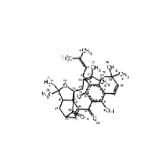 CC(C)=CCc1c2c(c(O)c3c1O[C@]14C(=CC5CC1C(C)(C)OC4(CC=C(C)C)C5=O)C3=O)C=CC(C)(C)O2